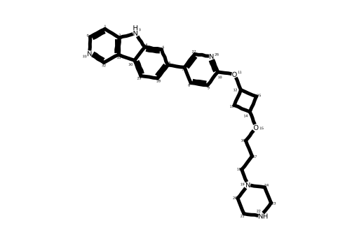 c1cc2[nH]c3cc(-c4ccc(OC5CC(OCCCN6CCNCC6)C5)nc4)ccc3c2cn1